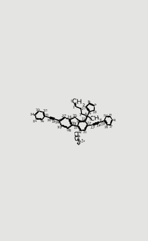 C=CCCC(C)(C1=CC=CC1)c1c(C#Cc2ccccc2)ccc2c1Cc1cc(C#Cc3ccccc3)ccc1-2.[Cl-].[Cl-].[Zr+2]